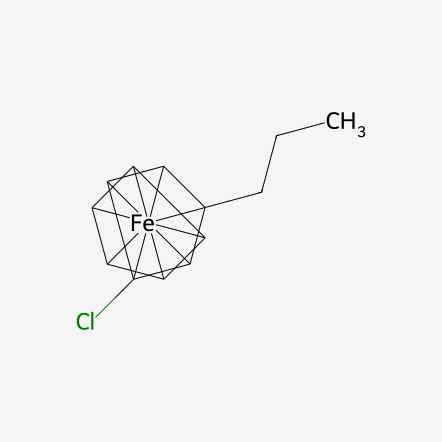 CCC[C]12[CH]3[CH]4[C]5(Cl)[CH]1[Fe]43521678[CH]2[CH]1[CH]6[CH]7[CH]28